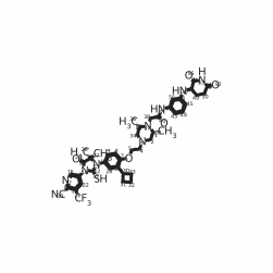 C[C@@H]1CN(CCOc2ccc(N3C(S)N(c4cnc(C#N)c(C(F)(F)F)c4)C(=O)C3(C)C)cc2C2CCC2)C[C@H](C)N1CC(=O)Nc1cccc(NC2CCC(=O)NC2=O)c1